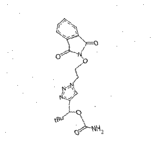 CC(C)(C)C(OC(N)=O)c1cn(CCON2C(=O)c3ccccc3C2=O)nn1